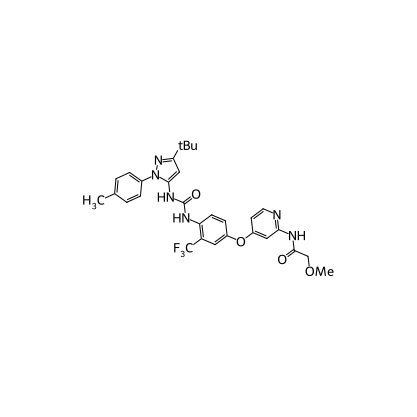 COCC(=O)Nc1cc(Oc2ccc(NC(=O)Nc3cc(C(C)(C)C)nn3-c3ccc(C)cc3)c(C(F)(F)F)c2)ccn1